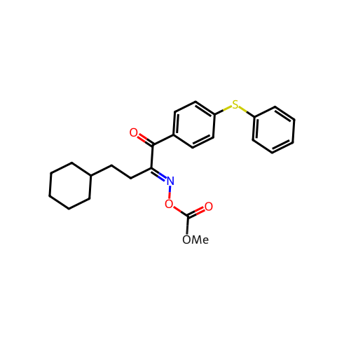 COC(=O)O/N=C(\CCC1CCCCC1)C(=O)c1ccc(Sc2ccccc2)cc1